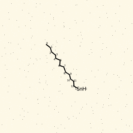 CCCCCCCCCCCC[CH2][SnH]